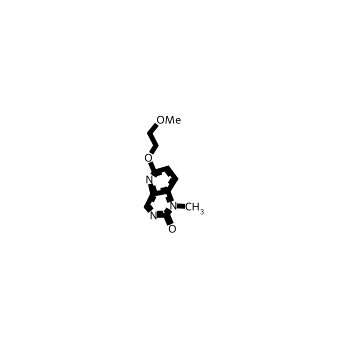 COCCOc1ccc2c(cnc(=O)n2C)n1